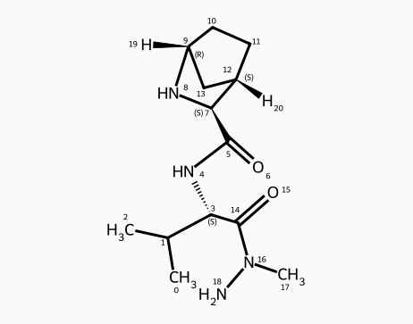 CC(C)[C@H](NC(=O)[C@H]1N[C@@H]2CC[C@H]1C2)C(=O)N(C)N